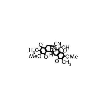 COC1=C(C)C(=O)C2=C(C1=O)C1[C@@H]3CC4=C(C(=O)C(OC)=C(C)C4=O)[C@H](CO)N3[C@@H](C#N)C(C2)N1C